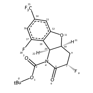 CC(C)(C)OC(=O)N1C(=O)[C@@H](F)C[C@@H]2Oc3cc(C(F)(F)F)cc(F)c3[C@@H]21